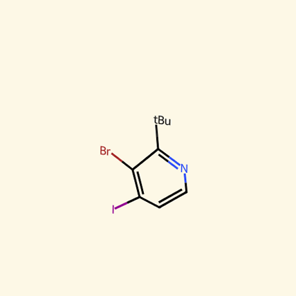 CC(C)(C)c1nccc(I)c1Br